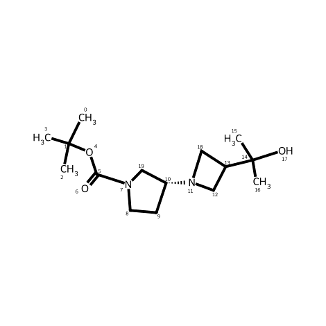 CC(C)(C)OC(=O)N1CC[C@@H](N2CC(C(C)(C)O)C2)C1